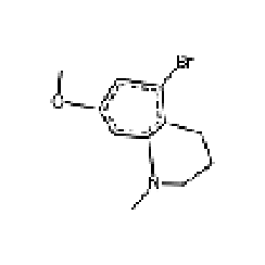 COc1cc(Br)c2c(c1)N(C)CCC2